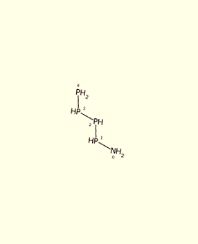 NPPPP